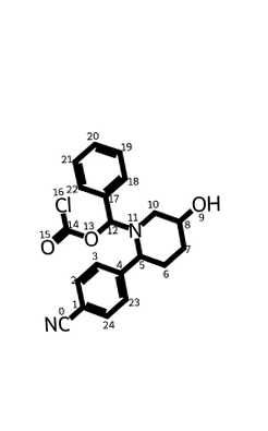 N#Cc1ccc(C2CCC(O)CN2C(OC(=O)Cl)c2ccccc2)cc1